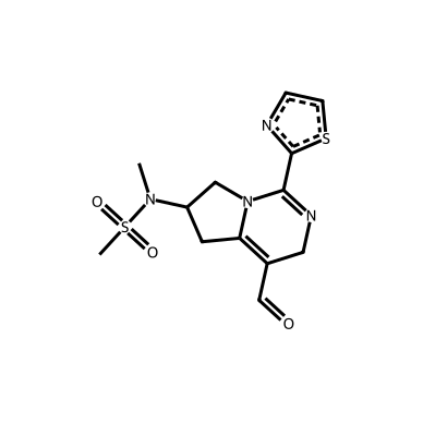 CN(C1CC2=C(C=O)CN=C(c3nccs3)N2C1)S(C)(=O)=O